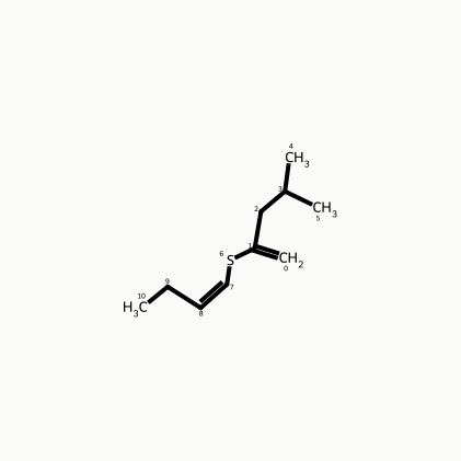 C=C(CC(C)C)S/C=C\CC